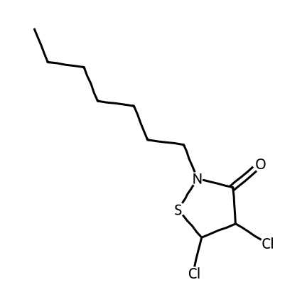 CCCCCCCN1SC(Cl)C(Cl)C1=O